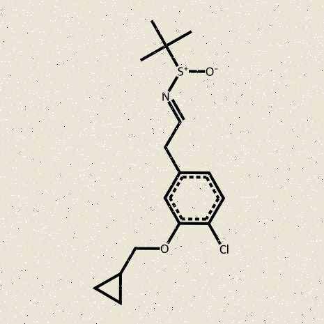 CC(C)(C)[S+]([O-])N=CCc1ccc(Cl)c(OCC2CC2)c1